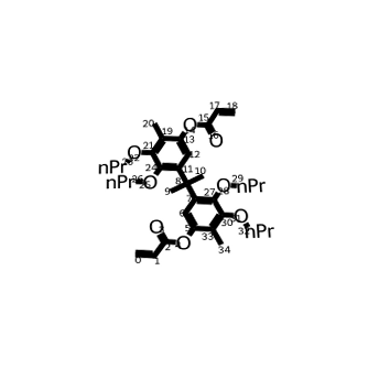 C=CC(=O)Oc1cc(C(C)(C)c2cc(OC(=O)C=C)c(C)c(OCCC)c2OCCC)c(OCCC)c(OCCC)c1C